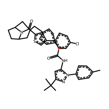 Cc1ccc(-n2nc(C(C)(C)C)cc2NC(=O)Nc2ccc(CC3CC4CCC(C3)N4C(=O)c3cc(-c4ccc(Cl)cc4)cs3)cc2)cc1